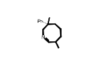 CC1/C=N\C[C@](C)(C(C)C)CCC1